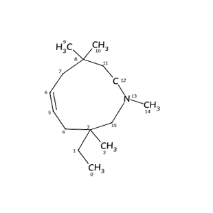 CCC1(C)C/C=C\CC(C)(C)CCN(C)C1